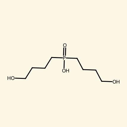 O=P(O)(CCCCO)CCCCO